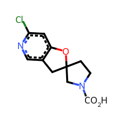 O=C(O)N1CCC2(Cc3cnc(Cl)cc3O2)C1